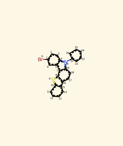 Brc1ccc2c(c1)c1c3sc4ccccc4c3ccc1n2-c1ccccc1